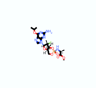 COC(=O)[C@H](C)N[P@@]1(=O)OC[C@H]2O[C@@H](n3cnc4c(OC(C)C)nc(N)nc43)[C@](C)(F)[C@@H]2O1